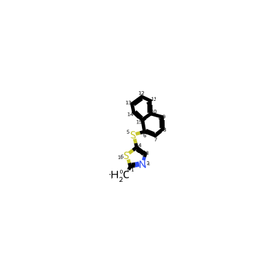 [CH2]c1ncc(Sc2cccc3ccccc23)s1